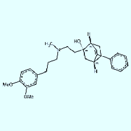 COc1ccc(CCCN(C)CC[C@]2(O)C[C@H]3CC[C@@H]2C=C3c2ccccc2)cc1OC